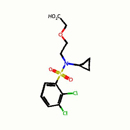 O=C(O)COCCN(C1CC1)S(=O)(=O)c1cccc(Cl)c1Cl